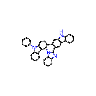 c1ccc(-n2c3ccccc3c3c2ccc2c4cc5[nH]c6ccccc6c5cc4c4nc5ccccc5n4c23)cc1